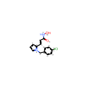 O=C(/C=C/c1cccn1Cc1ccc(Cl)cc1)NO